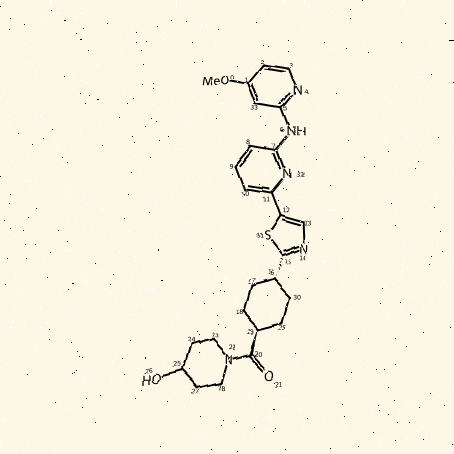 COc1ccnc(Nc2cccc(-c3cnc([C@H]4CC[C@H](C(=O)N5CCC(O)CC5)CC4)s3)n2)c1